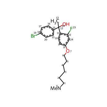 CNCCCCCCOc1ccc(C(C)(O)c2ccc(Br)cc2)c(F)c1